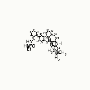 CCNC(=O)NCc1ccccc1-c1ccc(CN2C(=O)[C@H](NC(=O)CC(C)(C)N)CCc3ccccc32)cc1